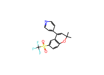 CC1(C)C=C(c2ccncc2)c2cc(S(=O)(=O)C(F)(F)F)ccc2O1